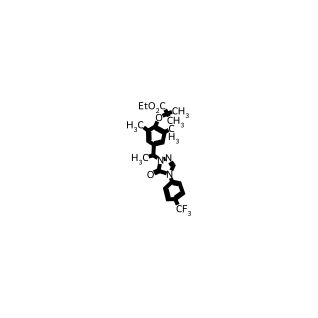 CCOC(=O)C(C)(C)Oc1c(C)cc(C(C)n2ncn(-c3ccc(C(F)(F)F)cc3)c2=O)cc1C